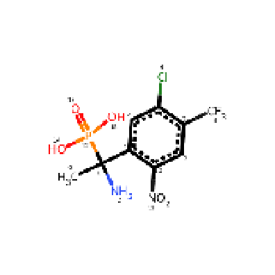 CC(N)(c1cc(Cl)c(C(F)(F)F)cc1[N+](=O)[O-])P(=O)(O)O